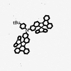 CC(C)(C)c1ccc(N(c2ccc3c4c(ccc3c2)-c2c(c3ccccc3c3ccccc23)C42c3ccccc3-c3ccccc32)c2ccc3c4c(ccc3c2)-c2c(c3ccccc3c3ccccc23)C42c3ccccc3-c3ccccc32)cc1